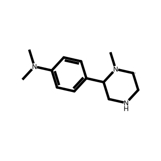 CN(C)c1ccc(C2CNC[CH]N2C)cc1